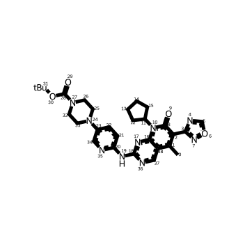 Cc1c(-c2ncon2)c(=O)n(C2CCCC2)c2nc(Nc3ccc(N4CCN(C(=O)OC(C)(C)C)CC4)cn3)ncc12